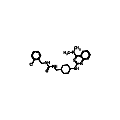 CN(C)c1nc(NC2CCC(CNC(=O)NCc3ccccc3Cl)CC2)nc2ccccc12